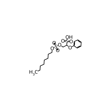 CCCCCCCCOS(=O)(=O)OCC(Oc1ccccc1)S(=O)(=O)O